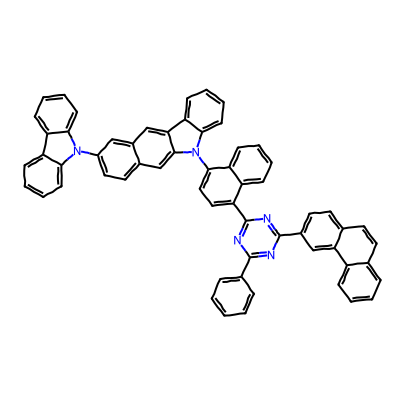 c1ccc(-c2nc(-c3ccc4ccc5ccccc5c4c3)nc(-c3ccc(-n4c5ccccc5c5cc6cc(-n7c8ccccc8c8ccccc87)ccc6cc54)c4ccccc34)n2)cc1